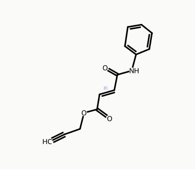 C#CCOC(=O)/C=C/C(=O)Nc1ccccc1